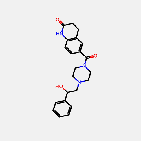 O=C1CCc2cc(C(=O)N3CCN(CC(O)c4ccccc4)CC3)ccc2N1